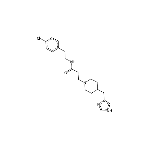 O=C(CCN1CCC(Cc2c[nH]cn2)CC1)NCCc1ccc(Cl)cc1